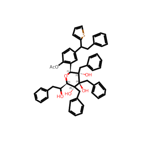 CC(=O)Oc1ccc(C(Cc2ccccc2)c2cccs2)cc1[C@@H]1O[C@H](C(O)Cc2ccccc2)[C@](O)(Cc2ccccc2)[C@@](O)(Cc2ccccc2)[C@]1(O)Cc1ccccc1